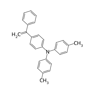 C=C(c1ccccc1)c1ccc(N(c2ccc(C)cc2)c2ccc(C)cc2)cc1